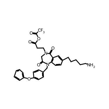 NCCCCCc1ccc2c(c1)C(=O)N(CCC(=O)OC(=O)C(F)(F)F)CC(=O)N2Cc1ccc(Oc2ccccc2)cc1